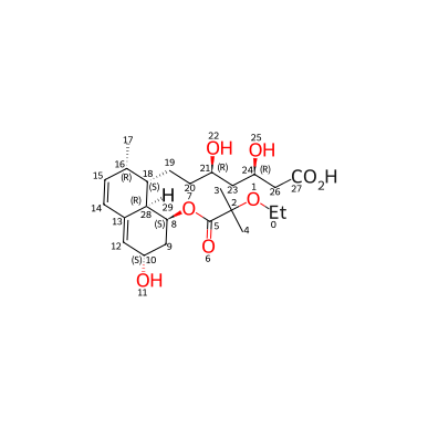 CCOC(C)(C)C(=O)O[C@H]1C[C@H](O)C=C2C=C[C@H](C)[C@H](CC[C@@H](O)C[C@@H](O)CC(=O)O)[C@H]21